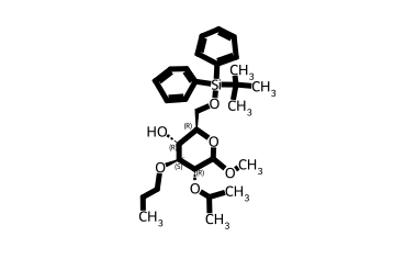 CCCO[C@H]1[C@H](O)[C@@H](CO[Si](c2ccccc2)(c2ccccc2)C(C)(C)C)OC(OC)[C@@H]1OC(C)C